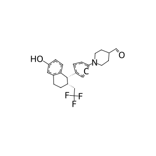 O=CC1CCN(c2ccc([C@H]3c4ccc(O)cc4CC[C@H]3CC(F)(F)F)cc2)CC1